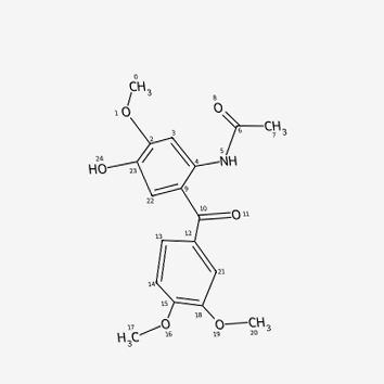 COc1cc(NC(C)=O)c(C(=O)c2ccc(OC)c(OC)c2)cc1O